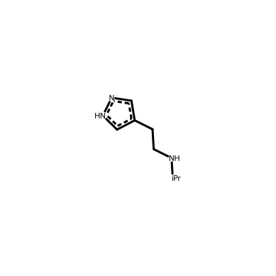 CC(C)NCCc1cn[nH]c1